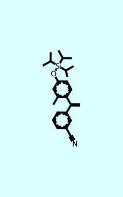 C=C(c1cccc(C#N)c1)c1ccc(O[Si](C(C)C)(C(C)C)C(C)C)cc1C